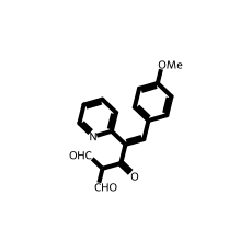 COc1ccc(C=C(C(=O)C(C=O)C=O)c2ccccn2)cc1